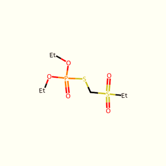 CCOP(=O)(OCC)SCS(=O)(=O)CC